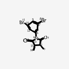 CC1C(=O)N(c2cc(Br)cc(Br)c2)C(=O)C1C